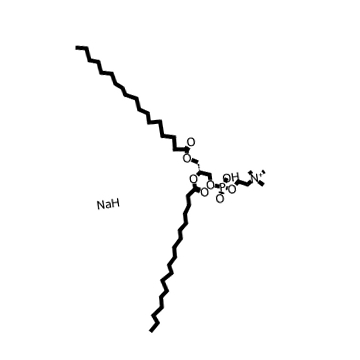 CCCCCCCCCCCCCCCCCC(=O)OC[C@H](COP(=O)(O)OCC[N+](C)(C)C)OC(=O)CCCCCCCCCCCCCCCCC.[NaH]